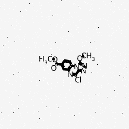 COC(=O)c1ccc2c(c1)nc(Cl)c1nnc(OC)n12